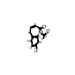 CC(=O)N1C(=O)C=CCc2ccc(I)cc21